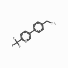 C[CH]c1ccc(-c2ccc(C(F)(F)F)nc2)cc1